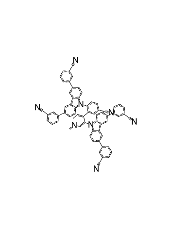 C=N/C=C(\C(=C/C)c1cc(C#N)ccc1-n1c2ccc(-c3cccc(C#N)c3)cc2c2cc(-c3cccc(C#N)c3)ccc21)n1c2ccc(-c3cccc(C#N)c3)cc2c2cc(-c3cccc(C#N)c3)ccc21